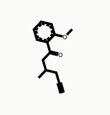 C#CCC(C)CC(=O)c1ccccc1OC